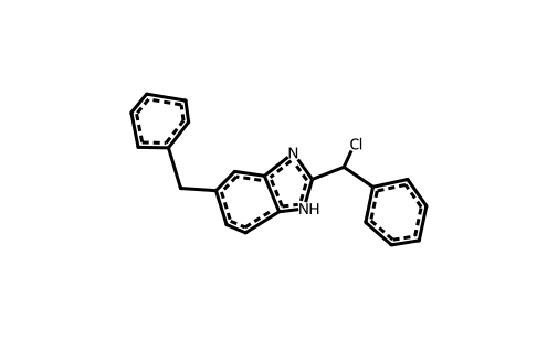 ClC(c1ccccc1)c1nc2cc(Cc3ccccc3)ccc2[nH]1